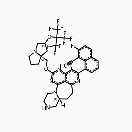 C#Cc1c(F)ccc2cccc(-c3nc4c5c(nc(OC[C@@]67CCCN6C[C@@H](OC(C(F)(F)F)(C(F)(F)F)C(F)(F)F)C7)nc5c3F)N3CCNC[C@H]3CC4)c12